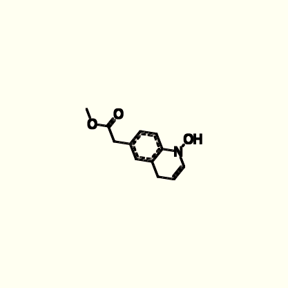 COC(=O)Cc1ccc2c(c1)CC=CN2O